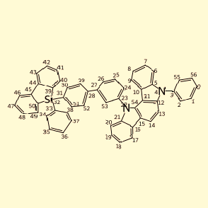 c1ccc(-n2c3ccccc3c3c2ccc2c4ccccc4n(-c4cccc(-c5ccc([Si]6(c7ccccc7)c7ccccc7-c7ccccc76)cc5)c4)c23)cc1